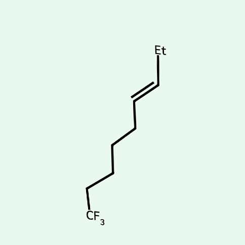 CCC=CCCCCC(F)(F)F